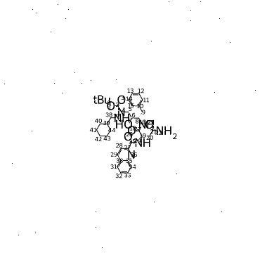 CC(C)(C)OC(=O)N(C[C@H](O)[C@H](Cc1ccccc1)NC(=O)[C@H](CC(N)=O)NC(=O)c1ccc2ccccc2n1)NCC1CCCCC1